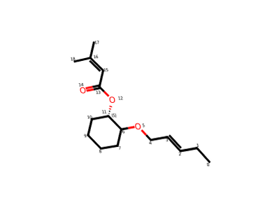 CCC=CCOC1CCCC[C@@H]1OC(=O)C=C(C)C